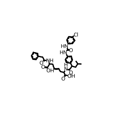 CC(C)CC(C(=O)NC(CC=CCC(NC(=O)Cc1ccccc1)C(=O)O)C(=O)O)c1ccc(NC(=O)Nc2ccc(Cl)cc2)cc1